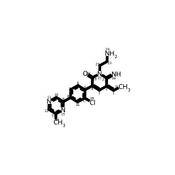 C/C=C1/C=C(c2ccc(-c3cncc(C)n3)cc2Cl)C(=O)N(CCN)C1=N